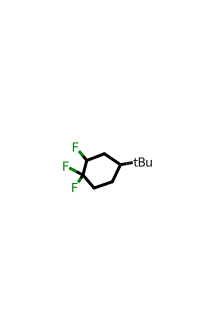 CC(C)(C)C1CCC(F)(F)C(F)C1